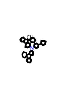 CC1(c2ccccc2)c2ccccc2-c2ccc(N(c3ccc(-c4ccccc4)cc3)c3ccc4c(c3)C3(CCCCC3)c3ccccc3-4)cc21